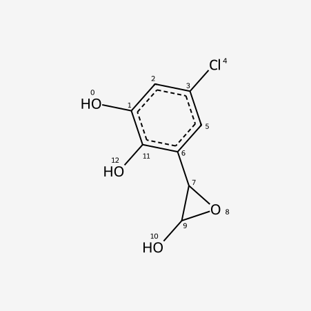 Oc1cc(Cl)cc(C2OC2O)c1O